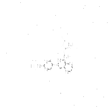 CCCC(CN)CNc1nc(-c2cnc(N)nc2)cc2nccnc12